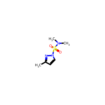 Cc1ccn(S(=O)(=O)N(C)C)n1